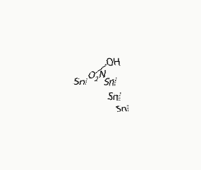 O=[N+]([O-])O.[Sn].[Sn].[Sn].[Sn]